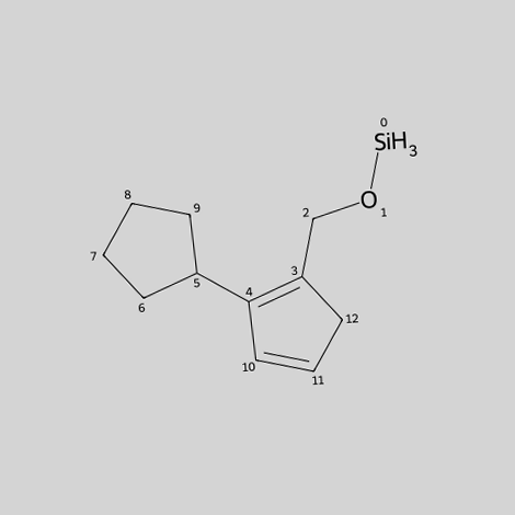 [SiH3]OCC1=C(C2CCCC2)C=CC1